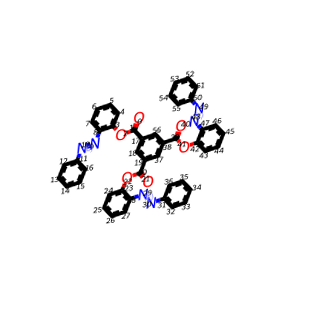 O=C(Oc1ccccc1/N=N/c1ccccc1)c1cc(C(=O)Oc2ccccc2/N=N/c2ccccc2)cc(C(=O)Oc2ccccc2/N=N/c2ccccc2)c1